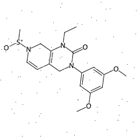 CCN1C(=O)N(c2cc(OC)cc(OC)c2)CC2=C1CN([S+](C)[O-])C=C2